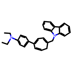 CCN(CC)c1ccc(C2=CC=C(Cn3c4ccccc4c4ccccc43)CC=C2)cc1